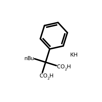 CCCCC(C(=O)O)(C(=O)O)c1ccccc1.[KH]